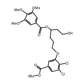 COc1cc(C(=O)OC(CCO)CCCOc2cc(C(=O)OC(C)(C)C)cc(Cl)c2Cl)cc(OC)c1OC